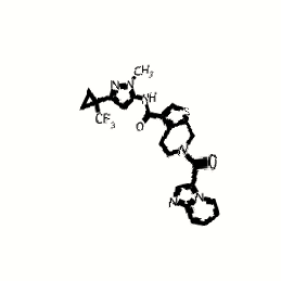 Cn1nc(C2(C(F)(F)F)CC2)cc1NC(=O)c1csc2c1CCN(C(=O)c1cnc3ccccn13)C2